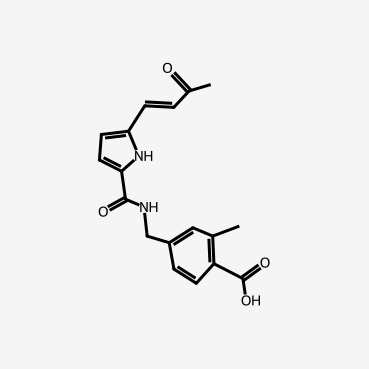 CC(=O)C=Cc1ccc(C(=O)NCc2ccc(C(=O)O)c(C)c2)[nH]1